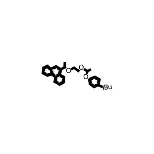 CCC(C)c1ccc(OC(C)OCCOC(C)c2cc3ccccc3c3ccccc23)cc1